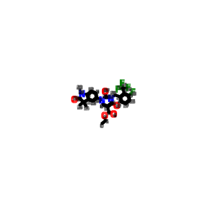 CCOC(=O)c1cn(-c2ccc3c(c2)C(C)(C)C(=O)N3C)c(=O)n(Cc2cccc(F)c2C(F)(F)F)c1=O